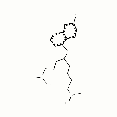 CC(C)N(CCCCC(CCCN(C(C)C)C(C)C)Nc1ccnc2cc(Cl)ccc12)C(C)C